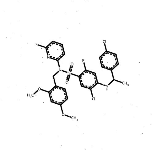 COc1ccc(CN(c2cccc(F)n2)S(=O)(=O)c2cc(Cl)c(NC(C)c3ccc(Cl)cc3)cc2F)c(OC)c1